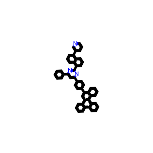 c1ccc(-c2cc(-c3ccc(-c4cc5c6ccccc6c6ccccc6c5c5ccccc45)cc3)nc(-c3cccc4c(-c5cccnc5)cccc34)n2)cc1